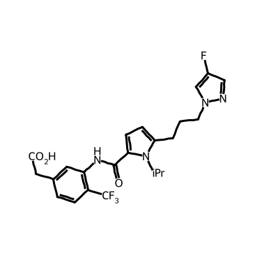 CC(C)n1c(CCCn2cc(F)cn2)ccc1C(=O)Nc1cc(CC(=O)O)ccc1C(F)(F)F